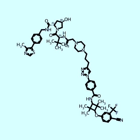 Cc1ncsc1-c1ccc(CNC(=O)[C@@H]2C[C@@H](O)CN2C(=O)[C@@H](NC(=O)CN2CCN(CCCc3cn(-c4ccc(C(=O)NC5C(C)(C)C(Oc6ccc(C#N)c(C(F)(F)F)c6)C5(C)C)cc4)nn3)CC2)C(C)(C)C)cc1